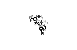 CC1CN(c2ccc(C#N)c3nccnc23)CC(C(=O)N2CC(N)CC(C(F)(F)F)C2)O1